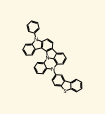 c1ccc(-n2c3ccccc3c3c2ccc2c4cccc5c4n(c23)-c2ccccc2N5c2ccc3sc4ccccc4c3c2)cc1